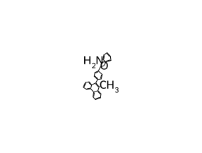 Cc1c(-c2ccc(COc3ccccc3N)cc2)c2ccccc2c2ccccc12